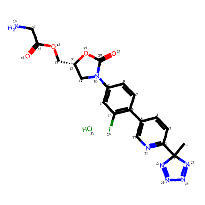 CC1(c2ccc(-c3ccc(N4C[C@H](COC(=O)CN)OC4=O)cc3F)cn2)N=NN=N1.Cl